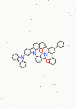 O=C1c2cccc(-n3c4ccccc4c4ccc(-n5c6ccccc6c6ccccc65)cc43)c2C(=O)N1c1c(-c2ccccc2)cc(-c2ccccc2)cc1-c1ccccc1